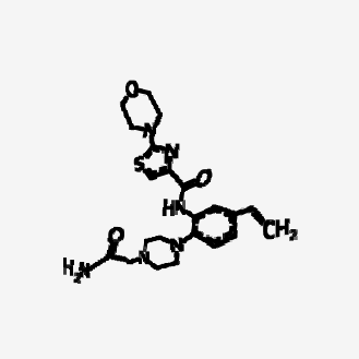 C=Cc1ccc(N2CCN(CC(N)=O)CC2)c(NC(=O)c2csc(N3CCOCC3)n2)c1